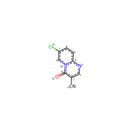 N#Cc1cnc2ccc(Cl)cn2c1=O